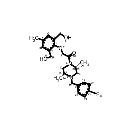 Cc1cc(CO)c(OCC(=O)N2C[C@H](C)N(Cc3ccc(F)cc3)C[C@H]2C)c(CO)c1